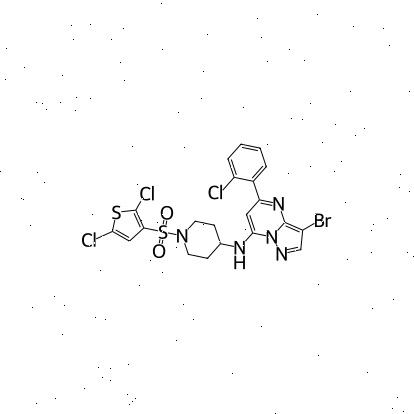 O=S(=O)(c1cc(Cl)sc1Cl)N1CCC(Nc2cc(-c3ccccc3Cl)nc3c(Br)cnn23)CC1